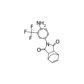 Nc1ccc(N2C(=O)C3C4C=CC(CC4)C3C2=O)cc1C(F)(F)F